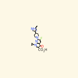 C=CCC(CN)=C1CCN(c2nc3c(cc2F)c(=O)c(C(=O)O)cn3C2CC2)CC1